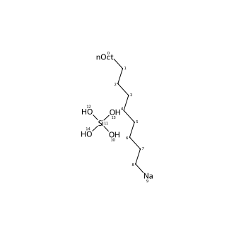 CCCCCCCCCCCCCCC[CH2][Na].O[Si](O)(O)O